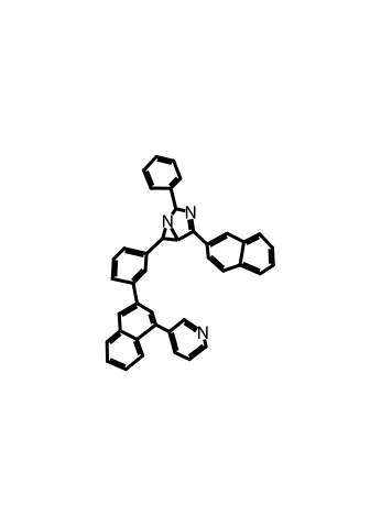 c1ccc(C2N=C(c3ccc4ccccc4c3)C3C(c4cccc(-c5cc(-c6cccnc6)c6ccccc6c5)c4)N23)cc1